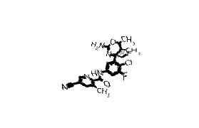 Cc1cc(C#N)cnc1C(=O)Nc1cc(F)c(Cl)c([C@]2(CF)N=C(N)OC(C)[C@H]2C)c1